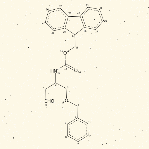 O=CCC(COCc1ccccc1)NC(=O)OCC1c2ccccc2-c2ccccc21